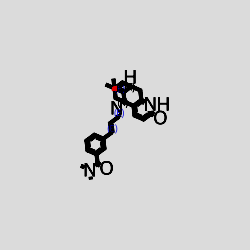 C/C=C1\[C@H]2C=C(C)C[C@]1(/N=C/C=C/c1cccc(C(=O)N(C)C)c1)c1ccc(=O)[nH]c1C2